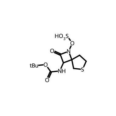 CC(C)(C)OC(=O)NC1C(=O)N(OS(=O)(=O)O)C12CCSC2